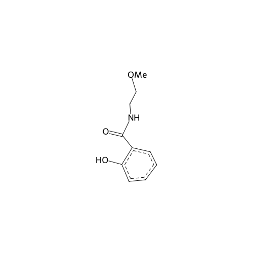 COCCNC(=O)c1ccccc1O